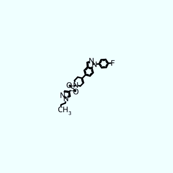 CCCn1cc(S(=O)(=O)N2CC=C(c3ccc4c(cnn4-c4ccc(F)cc4)c3)CC2)cn1